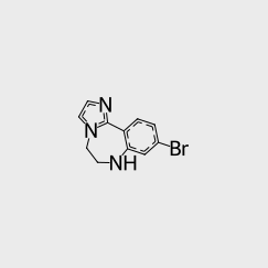 Brc1ccc2c(c1)NCCn1ccnc1-2